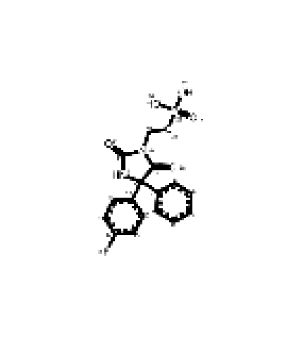 O=C1NC(c2ccccc2)(c2ccc(F)cc2)C(=O)N1COP(=O)(O)O